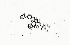 C[C@@H](N)CNc1cn(Cc2ccc(-n3cncn3)cc2)c(Sc2ccccc2)c1C(N)=O